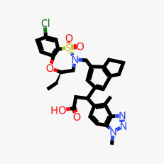 CC[C@@H]1CN(Cc2cc(C(CC(=O)O)c3ccc4c(nnn4C)c3C)cc3c2CCC3)S(=O)(=O)c2cc(Cl)ccc2O1